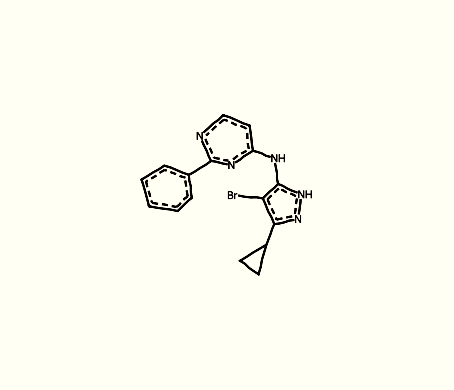 Brc1c(C2CC2)n[nH]c1Nc1ccnc(-c2ccccc2)n1